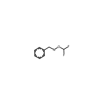 FC(F)O[N]Cc1ccccc1